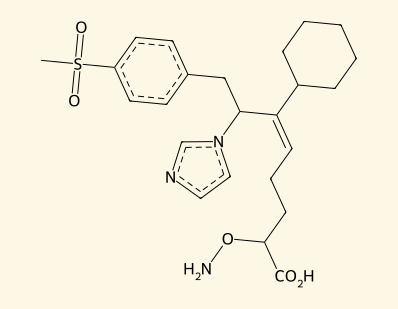 CS(=O)(=O)c1ccc(CC(/C(=C\CCC(ON)C(=O)O)C2CCCCC2)n2ccnc2)cc1